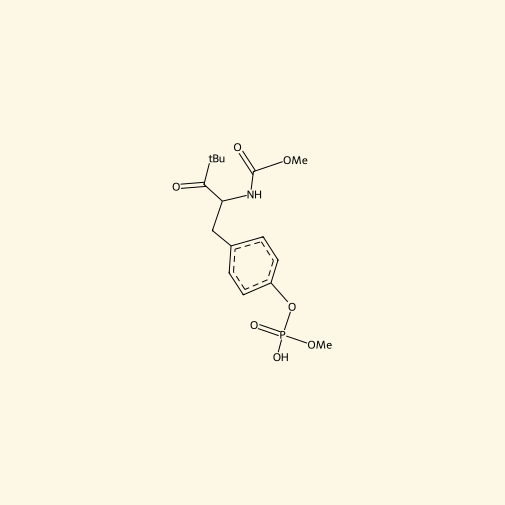 COC(=O)NC(Cc1ccc(OP(=O)(O)OC)cc1)C(=O)C(C)(C)C